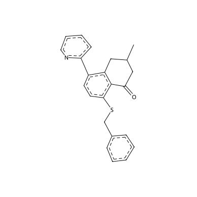 CC1CC(=O)c2c(SCc3ccccc3)ccc(-c3ccccn3)c2C1